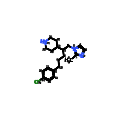 Cc1nccn1CC(CCCc1ccc(Cl)cc1)C1CCNCC1